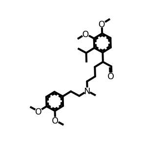 COc1ccc(CCN(C)CCCC(C=O)c2ccc(OC)c(OC)c2C(C)C)cc1OC